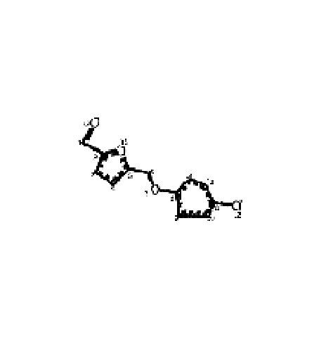 O=Cc1ccc(COc2ccc(Cl)cc2)o1